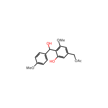 COc1ccc(C(O)c2c(O)cc(COC(C)=O)cc2OC)cc1